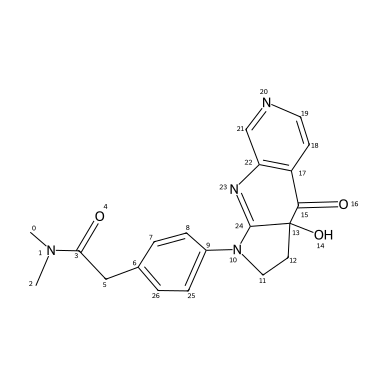 CN(C)C(=O)Cc1ccc(N2CCC3(O)C(=O)c4ccncc4N=C23)cc1